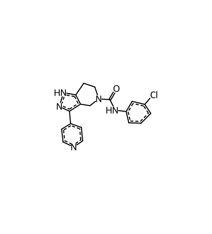 O=C(Nc1cccc(Cl)c1)N1CCc2[nH]nc(-c3ccncc3)c2C1